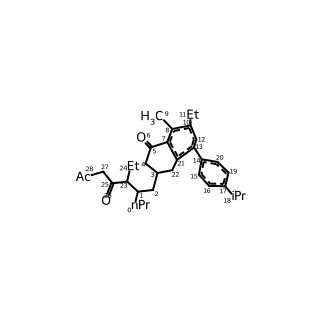 CCCC(CC1CC(=O)c2c(C)c(CC)cc(-c3ccc(C(C)C)cc3)c2C1)C(CC)C(=O)CC(C)=O